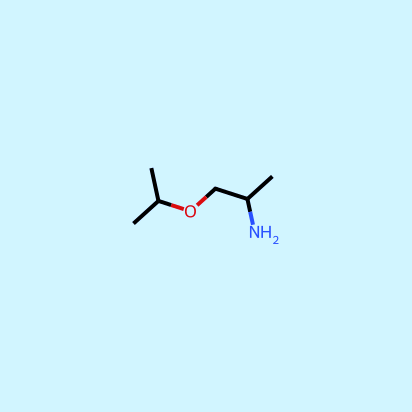 CC(N)COC(C)C